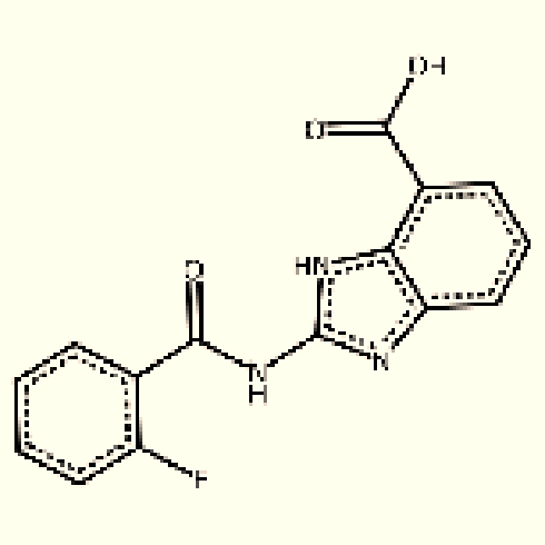 O=C(Nc1nc2cccc(C(=O)O)c2[nH]1)c1ccccc1F